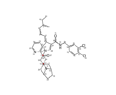 C=C(/C=C\C=C1/CN(CCCN2C3CCC2CN(CC(=O)c2ccccn2)C3)C=C1C(=O)NCc1ccc(Cl)c(Cl)c1)CC